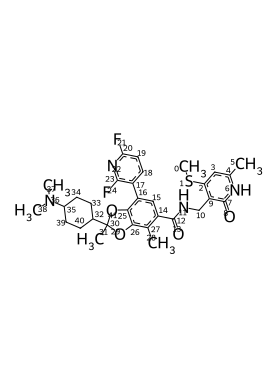 CSc1cc(C)[nH]c(=O)c1CNC(=O)c1cc(-c2ccc(F)nc2F)c2c(c1C)OC(C)(C1CCC(N(C)C)CC1)O2